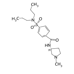 CCCN(CCC)S(=O)(=O)c1ccc(C(=O)N[C@@H]2CCN(C)C2)cc1